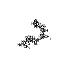 CCc1cc(N2C(=S)N(c3cnc(C#N)c(C(F)(F)F)c3)C(=O)C2(C)C)ccc1OCCN1C=C(C)N(CC(=O)Nc2cccc(NC3CCC(=O)NC3=O)c2)CC1